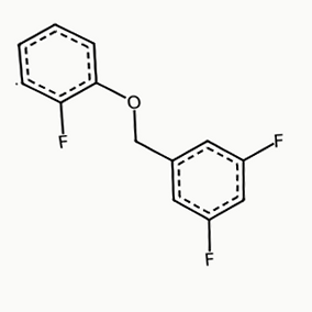 Fc1cc(F)cc(COc2ccc[c]c2F)c1